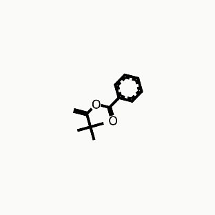 C=C(OC(=O)c1ccccc1)C(C)(C)C